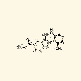 Cc1cccc(C)c1-n1nc2c(c1N)CN(C(=O)OC(C)(C)C)CC2